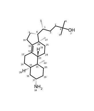 C[C@H](CCC(C)(C)O)[C@H]1CCC2=C3CC[C@@H]4C[C@@H](N)CC[C@]4(C)[C@H]3CC[C@@]21C